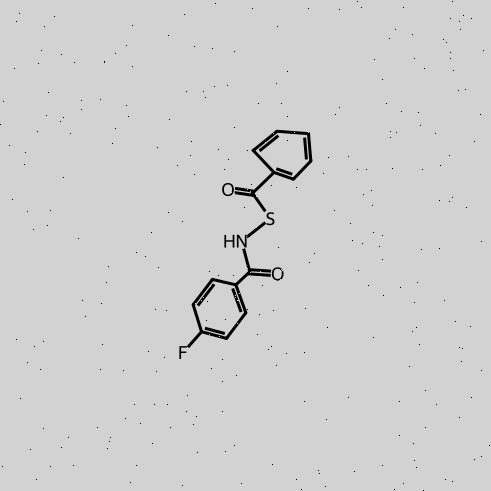 O=C(NSC(=O)c1ccccc1)c1ccc(F)cc1